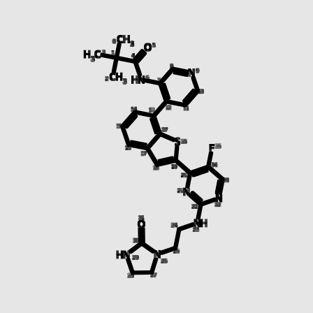 CC(C)(C)C(=O)Nc1cnccc1-c1cccc2cc(-c3nc(NCCN4CCNC4=O)ncc3F)sc12